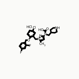 Cc1cc(N(CC2CCNCC2)C(=O)O)nn1Cc1cc(Cl)ccc1OCc1ccc(F)cc1F.Cl